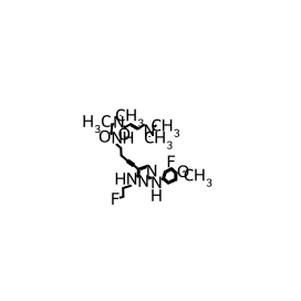 COc1ccc(Nc2ncc(C#CCCCNC(=O)[C@H](C)N(C)C(=O)C=CCN(C)C)c(NCCCF)n2)cc1F